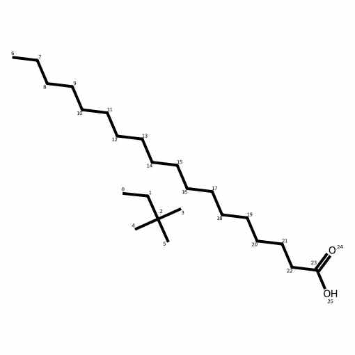 CCC(C)(C)C.CCCCCCCCCCCCCCCCCC(=O)O